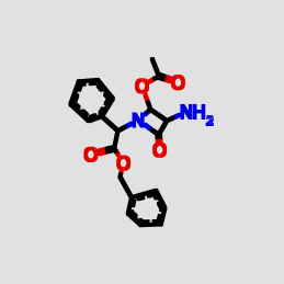 CC(=O)OC1C(N)C(=O)N1C(C(=O)OCc1ccccc1)c1ccccc1